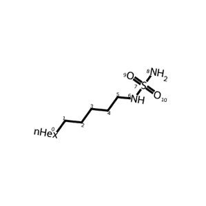 CCCCCCCCCCCNS(N)(=O)=O